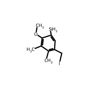 COc1c([SiH3])cc(CI)c(C)c1C